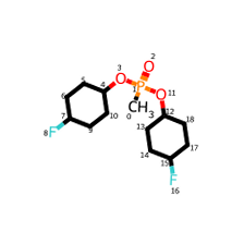 CP(=O)(OC1CCC(F)CC1)OC1CCC(F)CC1